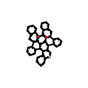 c1ccc(-c2c3ccccc3c(-c3ccccc3-c3ccc4ccccc4c3)c3c2cnc2ccccc23)c(-c2ccc3ccccc3c2)c1